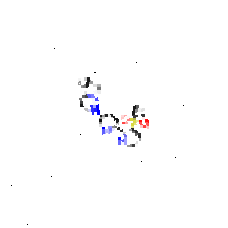 CCS(=O)(=O)c1cccnc1-c1ccc(-n2ccc(C(F)(F)F)n2)cn1